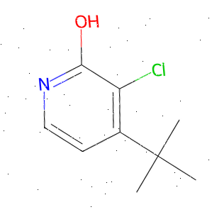 CC(C)(C)c1ccnc(O)c1Cl